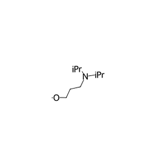 CC(C)N(CCC[O])C(C)C